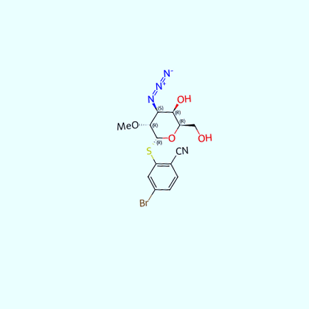 CO[C@@H]1[C@@H](N=[N+]=[N-])[C@@H](O)[C@@H](CO)O[C@@H]1Sc1cc(Br)ccc1C#N